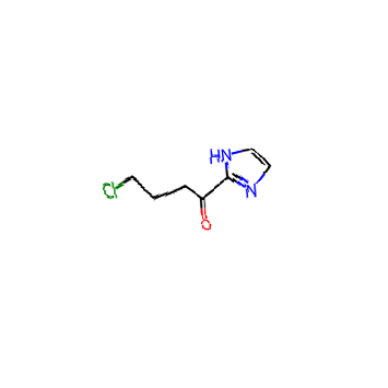 O=C(CCCCl)c1ncc[nH]1